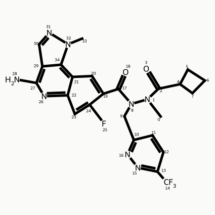 CN(C(=O)C1CCC1)N(Cc1ccc(C(F)(F)F)nn1)C(=O)c1cc2c(cc1F)nc(N)c1cnn(C)c12